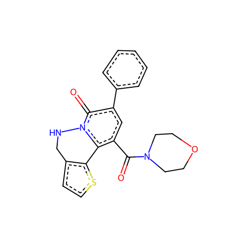 O=C(c1cc(-c2ccccc2)c(=O)n2c1-c1sccc1CN2)N1CCOCC1